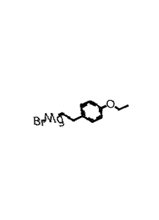 CCOc1ccc(C[CH2][Mg][Br])cc1